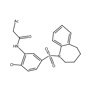 CC(=O)CC(=O)Nc1cc(S(=O)(=O)N2CCCCc3ccccc32)ccc1Cl